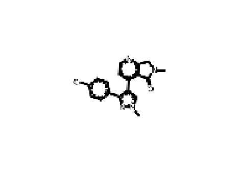 CN1Cc2nccc(-c3cn(C)nc3-c3ccc(Cl)cc3)c2C1=O